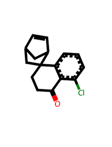 O=C1CCC2(CC3C=CC2C3)c2cccc(Cl)c21